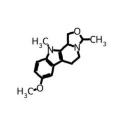 COc1ccc2c(c1)c1c(n2C)C2COC(C)N2CC1